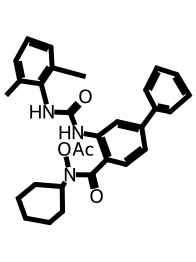 CC(=O)ON(C(=O)c1ccc(-c2ccccc2)cc1NC(=O)Nc1c(C)cccc1C)C1CCCCC1